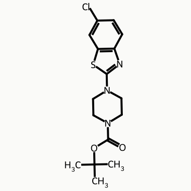 CC(C)(C)OC(=O)N1CCN(c2nc3ccc(Cl)cc3s2)CC1